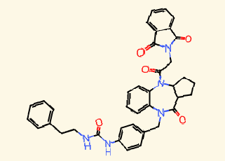 O=C(NCCc1ccccc1)Nc1ccc(CN2C(=O)C3CCCC3N(C(=O)CN3C(=O)c4ccccc4C3=O)c3ccccc32)cc1